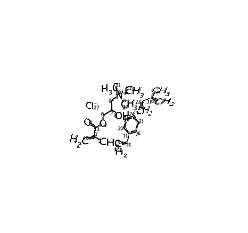 C=C(C)C(=O)OCC(O)C[N+](C)(C)C.C=CC(=C)C.C=Cc1ccccc1.[Cl-]